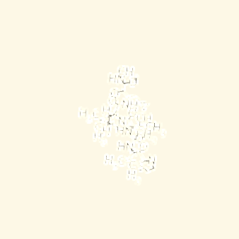 CNC(=O)C(=O)C(CC1CC1)NC(=O)[C@@H]1[C@@H]2[C@H](CN1C(=O)[C@@H](NC(=O)N[C@H](C(=O)c1nccs1)C(C)C)C(C)(C)C)C2(C)C